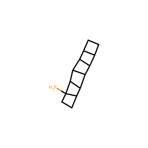 PC12CCC1C1C3C4C5CCC5C4C3C12